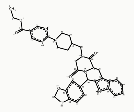 CCOC(=O)c1cnc(N2CCC(CN3CC(=O)N4C(Cc5c([nH]c6ccccc56)C4c4ccc5c(c4)OCO5)C3=O)CC2)nc1